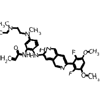 C=CC(=O)Nc1cc(N(C)CCN(C)CC)ccc1NC1C=c2cnc(-c3c(F)c(OC)cc(OC)c3F)cc2=CN1